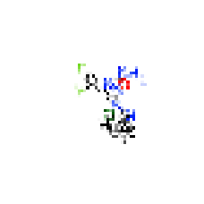 C=C/C(Cl)=C(\C=N/C(C)CC)N1CCc2c(Cc3ccc(F)cc3CF)nc(CC(N)=O)nc2C1